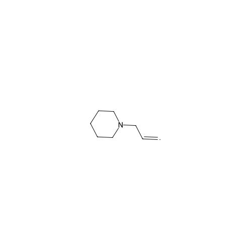 [CH]=CCN1CCCCC1